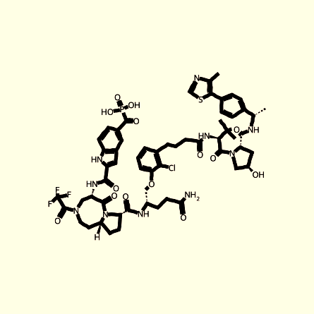 Cc1ncsc1-c1ccc([C@H](C)NC(=O)[C@@H]2C[C@@H](O)CN2C(=O)[C@@H](NC(=O)CCCc2cccc(OC[C@H](CCC(N)=O)NC(=O)[C@@H]3CC[C@@H]4CCN(C(=O)C(F)(F)F)C[C@H](NC(=O)c5cc6cc(C(=O)P(=O)(O)O)ccc6[nH]5)C(=O)N43)c2Cl)C(C)(C)C)cc1